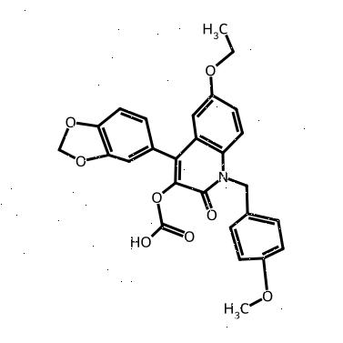 CCOc1ccc2c(c1)c(-c1ccc3c(c1)OCO3)c(OC(=O)O)c(=O)n2Cc1ccc(OC)cc1